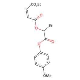 CCOC(=O)/C=C\C(=O)OC(CC)C(=O)Oc1ccc(OC)cc1